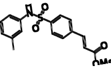 COC(=O)C=Cc1ccc(S(=O)(=O)Nc2cccc(C)c2)cc1